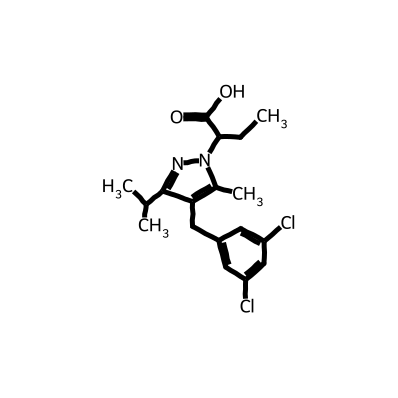 CCC(C(=O)O)n1nc(C(C)C)c(Cc2cc(Cl)cc(Cl)c2)c1C